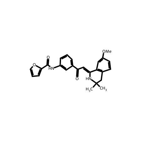 COc1ccc2c(c1)C(=CC(=O)c1cccc(NC(=O)c3ccco3)c1)NC(C)(C)C2